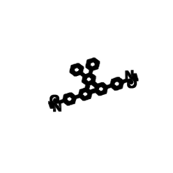 c1ccc(-c2cc3c4cc(-c5ccc(-c6ncco6)cc5)ccc4c4ccc(-c5ccc(-c6ncco6)cc5)cc4c3cc2-c2ccccc2)cc1